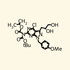 C=C(C)OC(=O)N(C(=O)OC(C)(C)C)c1nc(Cl)c2c(CC(O)CO)nn(Cc3ccc(OC)cc3)c2n1